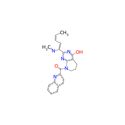 C=N/C(=C\C=C/C)c1nc(O)c2c(n1)N(C(=O)c1ccc3ccccc3n1)CCC2